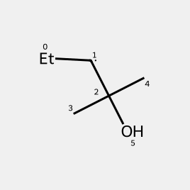 CC[CH]C(C)(C)O